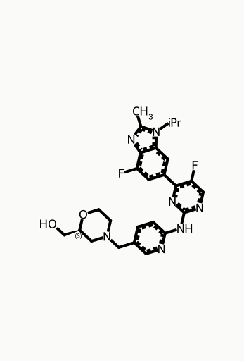 Cc1nc2c(F)cc(-c3nc(Nc4ccc(CN5CCO[C@H](CO)C5)cn4)ncc3F)cc2n1C(C)C